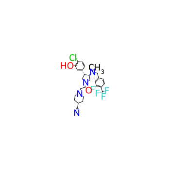 CN(Cc1ccc(C(F)(F)F)c(F)c1)[C@H]1CN(C(=O)CN2CCC(C#N)CC2)C[C@@H]1c1ccc(Cl)c(O)c1